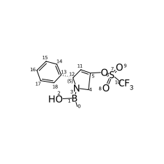 CB(O)N1CC(OS(=O)(=O)C(F)(F)F)=C[C@H]1c1ccccc1